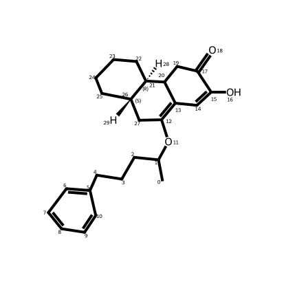 CC(CCCc1ccccc1)OC1=C2C=C(O)C(=O)CC2[C@@H]2CCCC[C@H]2C1